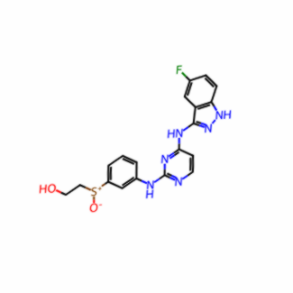 [O-][S+](CCO)c1cccc(Nc2nccc(Nc3n[nH]c4ccc(F)cc34)n2)c1